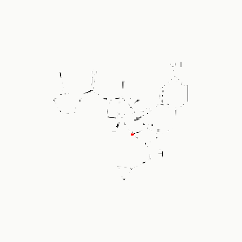 CN1CCC[C@@H]1C(=O)N1C[C@H]2C[C@@]34CC[C@@H]1[C@@H]2[C@@]31CCN(CC2CC2)[C@@H]4Cc2ccc(O)cc21